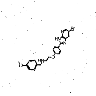 COc1ccc(CNCCOc2ccc(-c3nc4cc(Br)cnc4[nH]3)cc2)cc1